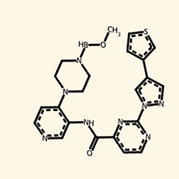 COBN1CCN(c2ccncc2NC(=O)c2ccnc(-n3cc(-c4ccsc4)cn3)n2)CC1